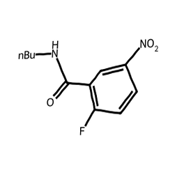 CCCCNC(=O)c1cc([N+](=O)[O-])ccc1F